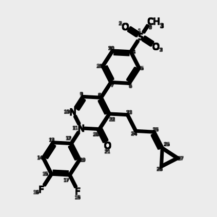 CS(=O)(=O)c1ccc(-c2cnn(-c3ccc(F)c(F)c3)c(=O)c2CCC=C2CC2)cc1